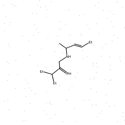 CCC=CC(C)NCC(=P)C(CC)CC